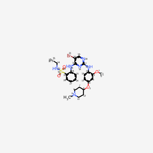 CCOc1cc(OC2CCN(C)CC2)ccc1Nc1ncc(Br)c(Nc2ccccc2S(=O)(=O)NCC(C)C)n1